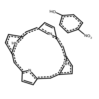 C1=Cc2cc3ccc(cc4nc(cc5ccc(cc1n2)[nH]5)C=C4)[nH]3.O=[N+]([O-])c1ccc(O)cc1